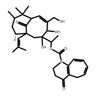 CC(C)=CC12CC(O)(C(C)OC(=O)N3CCC(=O)C4=C3C=CC=CC4)C(O)/C(CO)=C\C(C1=O)C(C)(C)C(C)C[C@H]2C